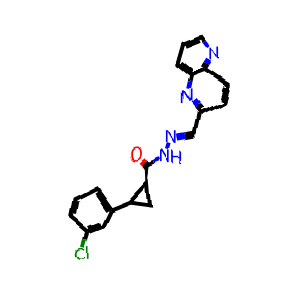 O=C(NN=Cc1ccc2ncccc2n1)[C@H]1CC1c1cccc(Cl)c1